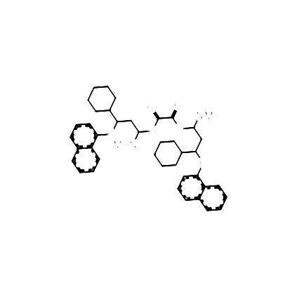 CNC(CC(Oc1cccc2ccccc12)C1CCCCC1)OC(=O)C(=O)OC(CC(Oc1cccc2ccccc12)C1CCCCC1)NC